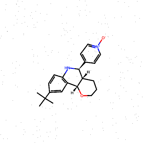 CC(C)(C)c1ccc2c(c1)[C@H]1OCCC[C@H]1[C@H](c1cc[n+]([O-])cc1)N2